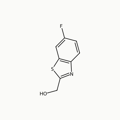 OCc1nc2ccc(F)cc2s1